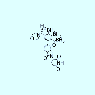 Bc1c(C(B)Oc2cccc3c2CN(C2CCC(=O)NC2=O)C3=O)ccc(C(B)N2CCOCC2)c1B